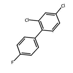 Fc1ccc(-c2[c]cc(Cl)cc2Cl)cc1